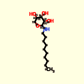 CCCCCCCCCCNC1OC[C@@H](O)[C@H](O)[C@H]1O